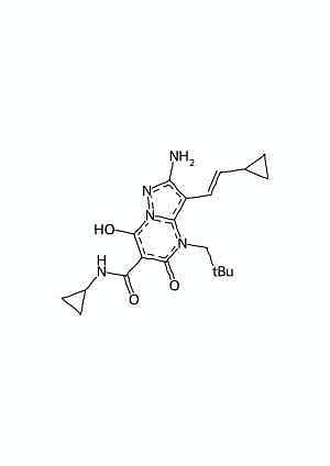 CC(C)(C)Cn1c(=O)c(C(=O)NC2CC2)c(O)n2nc(N)c(/C=C/C3CC3)c12